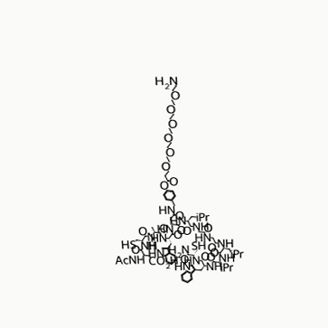 CC(=O)N[C@@H](CC(=O)O)C(=O)N[C@@H](CS)C(=O)N[C@@H](C)C(=O)N[C@@H](Cc1c[nH]c2ccccc12)C(=O)N[C@@H](CC(=O)NCc1ccc(OC(=O)CCOCCOCCOCCOCCOCCOCCN)cc1)C(=O)N[C@@H](CC(C)C)C(=O)NCC(=O)NCC(=O)N[C@@H](CC(C)C)C(=O)N[C@H](C(=O)N[C@@H](Cc1c[nH]c2ccccc12)C(=O)N[C@@H](CS)C(N)=O)C(C)C